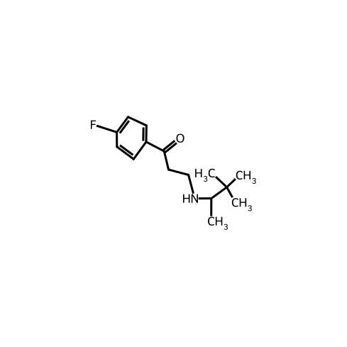 CC(NCCC(=O)c1ccc(F)cc1)C(C)(C)C